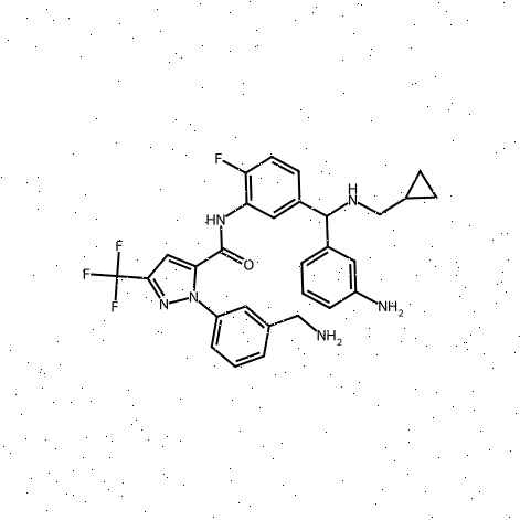 NCc1cccc(-n2nc(C(F)(F)F)cc2C(=O)Nc2cc(C(NCC3CC3)c3cccc(N)c3)ccc2F)c1